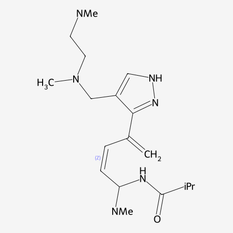 C=C(/C=C\C(NC)NC(=O)C(C)C)c1n[nH]cc1CN(C)CCNC